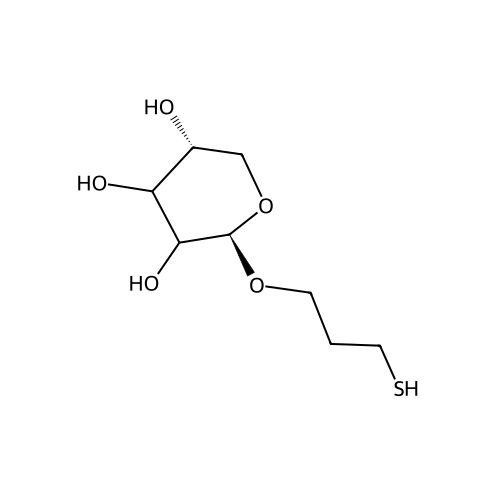 OC1C(O)[C@H](O)CO[C@H]1OCCCS